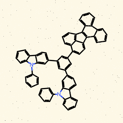 c1ccc(-n2c3ccccc3c3ccc(-c4cc(-c5ccc6c7ccccc7n(-c7ccccc7)c6c5)cc(-c5ccc6c7c(cccc57)-c5c-6c6ccccc6c6ccccc56)c4)cc32)cc1